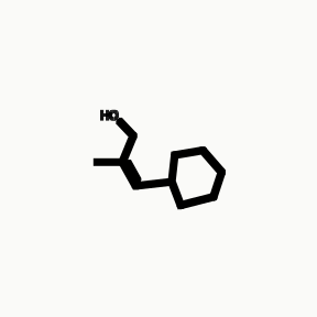 CC(=CC1CCCCC1)CO